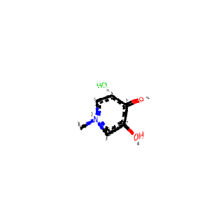 Cl.Cn1ccc(=O)c(O)c1